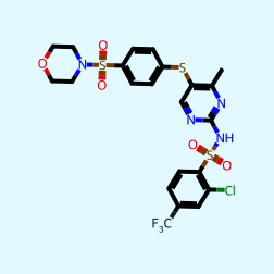 Cc1nc(NS(=O)(=O)c2ccc(C(F)(F)F)cc2Cl)ncc1Sc1ccc(S(=O)(=O)N2CCOCC2)cc1